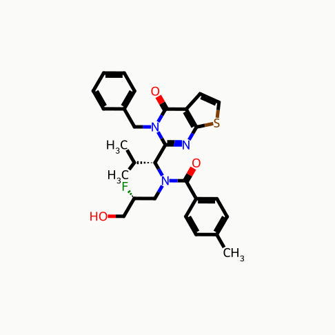 Cc1ccc(C(=O)N(C[C@@H](F)CO)[C@@H](c2nc3sccc3c(=O)n2Cc2ccccc2)C(C)C)cc1